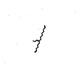 C=CCCCCCCC(=CCC)CCCCC=C